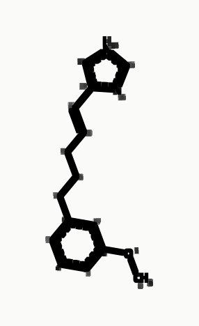 COc1cccc(CCCC=Cc2c[nH]cn2)c1